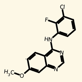 COc1[c]cc2c(Nc3cccc(Cl)c3F)ncnc2c1